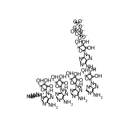 Nc1ncnc2c1ncn2[C@@H]1O[C@H](CO)[C@@H](O)[C@H]1O.Nc1ncnc2c1ncn2[C@@H]1O[C@H](CO)[C@@H](O)[C@H]1O.Nc1ncnc2c1ncn2[C@@H]1O[C@H](CO)[C@@H](O)[C@H]1O.Nc1ncnc2c1ncn2[C@@H]1O[C@H](CO)[C@@H](O)[C@H]1O.Nc1ncnc2c1ncn2[C@@H]1O[C@H](CO)[C@@H](O)[C@H]1O.O=P([O-])([O-])OP(=O)([O-])OP(=O)([O-])[O-].[Na+].[Na+].[Na+].[Na+].[Na+]